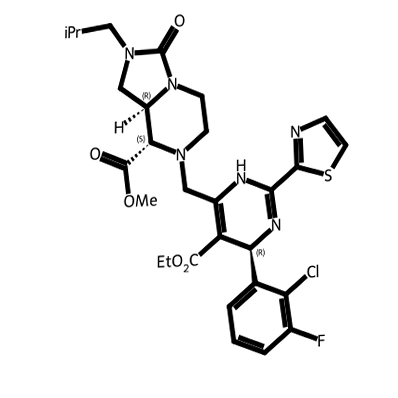 CCOC(=O)C1=C(CN2CCN3C(=O)N(CC(C)C)C[C@@H]3[C@H]2C(=O)OC)NC(c2nccs2)=N[C@H]1c1cccc(F)c1Cl